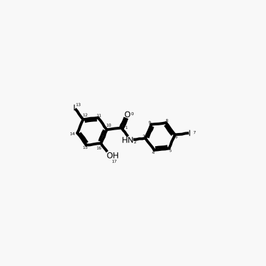 O=C(Nc1ccc(I)cc1)c1cc(I)ccc1O